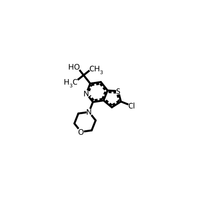 CC(C)(O)c1cc2sc(Cl)cc2c(N2CCOCC2)n1